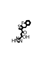 O=C(C=C(O)c1nc[nH]n1)c1cscc1Cc1ccccc1F